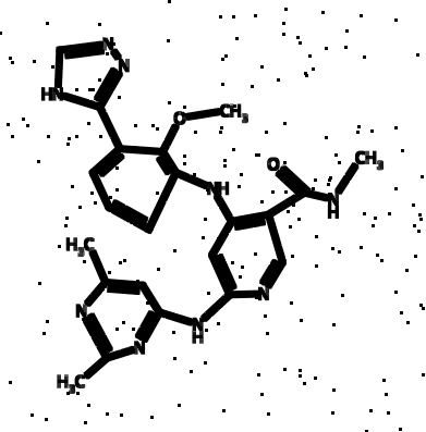 CNC(=O)c1cnc(Nc2cc(C)nc(C)n2)cc1Nc1cccc(-c2nnc[nH]2)c1OC